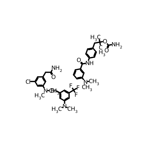 CN(C)c1cc(Br)cc(C(F)(F)F)c1.CN(C)c1cc(Cl)cc(CC(N)=O)c1.CN(C)c1cccc(C(=O)Nc2ccc(CC(C)(C)OC(N)=O)cc2)c1